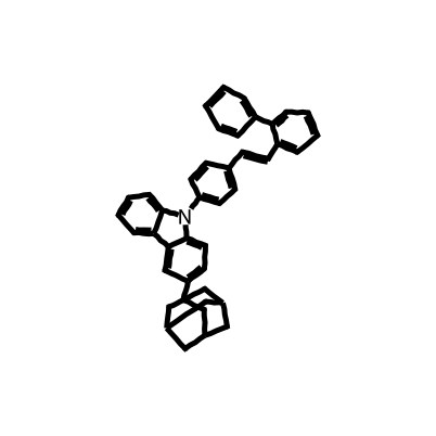 C(=Cc1ccccc1-c1ccccc1)c1ccc(-n2c3ccccc3c3cc(C45CC6CC(CC(C6)C4)C5)ccc32)cc1